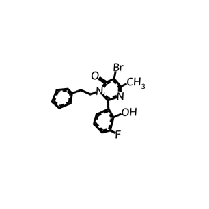 Cc1nc(-c2cccc(F)c2O)n(CCc2ccccc2)c(=O)c1Br